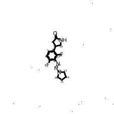 O=C1CC(c2ccc(F)c(/N=N/N3CCCC3)c2F)CN1